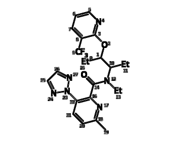 CCC(Oc1ncccc1C(F)(F)F)C(CC)N(CC)C(=O)c1nc(C)ccc1-n1nccn1